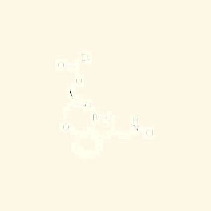 CCC(=O)OC[C@@H]1COc2cccc3c2B(OC3CNCl)O1